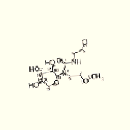 COCCN(C(=O)NCCCl)C1OC[C@@H](O)[C@H](O)[C@H]1O